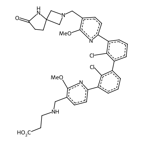 COc1nc(-c2cccc(-c3cccc(-c4ccc(CN5CC6(CCC(=O)N6)C5)c(OC)n4)c3Cl)c2Cl)ccc1CNCCC(=O)O